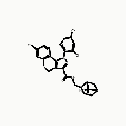 CC1C=C(Cl)C(n2nc(C(=O)NCC3CCC4CC3C4(C)C)c3c2-c2ccc(Br)cc2OC3)=CC1